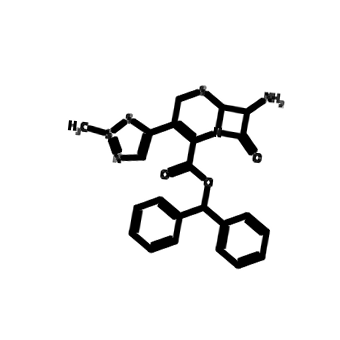 CS1=NC=C(C2=C(C(=O)OC(c3ccccc3)c3ccccc3)N3C(=O)C(N)C3SC2)S1